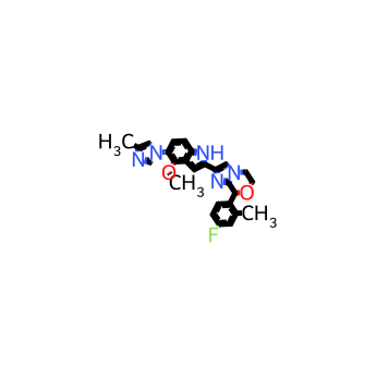 COc1c(-n2cnc(C)c2)ccc2[nH]c(-c3cn4c(n3)C(c3ccc(F)cc3C)OCC4)cc12